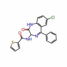 O=C(NC1N=C(c2ccccc2)c2cc(Cl)ccc2NC1=O)c1cccs1